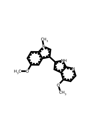 COc1ccc2c(c1)c(-c1cc3c(OC)ccnc3[nH]1)cn2C